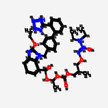 CCOc1nc2cccc(C(=O)OC(C)OC(=O)OC[C@@H](C)CO/N=[N+](\[O-])N(CC)CC)c2n1Cc1ccc(-c2ccccc2-c2nnn[nH]2)cc1